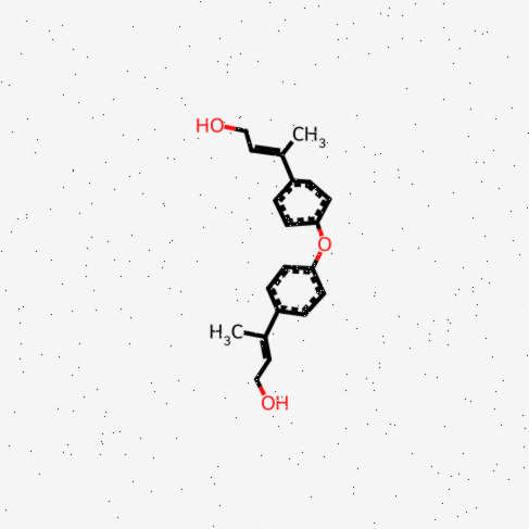 CC(=CCO)c1ccc(Oc2ccc(C(C)=CCO)cc2)cc1